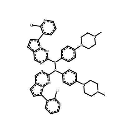 CN1CCN(c2ccc(N(c3ncc4ccc(-c5cccnc5Cl)n4n3)N(c3ccc(N4CCN(C)CC4)cc3)c3ncc4ccc(-c5cccnc5Cl)n4n3)cc2)CC1